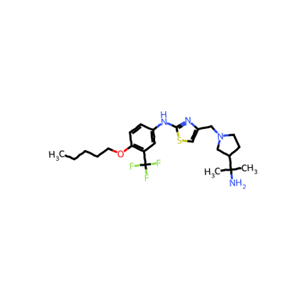 CCCCCOc1ccc(Nc2nc(CN3CCC(C(C)(C)N)C3)cs2)cc1C(F)(F)F